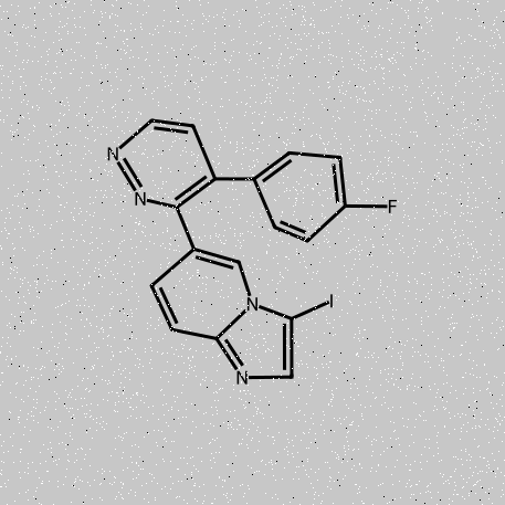 Fc1ccc(-c2ccnnc2-c2ccc3ncc(I)n3c2)cc1